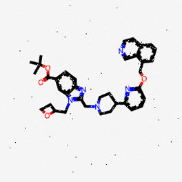 CC(C)(C)OC(=O)c1ccc2nc(CN3CCC(c4cccc(OCc5cccc6ccncc56)n4)CC3)n(CC3CCO3)c2c1